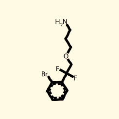 NCCCOCC(F)(F)c1ccccc1Br